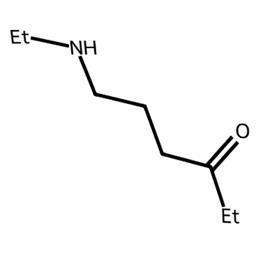 CCNCCCC(=O)CC